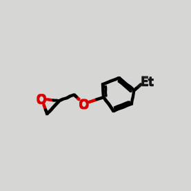 CCc1ccc(OCC2CO2)cc1